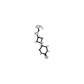 CCOC1CN(C2CCC(=O)CC2)C1